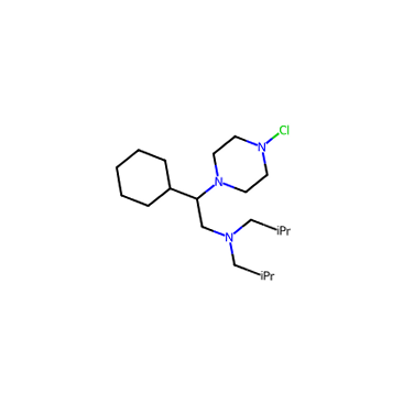 CC(C)CN(CC(C)C)CC(C1CCCCC1)N1CCN(Cl)CC1